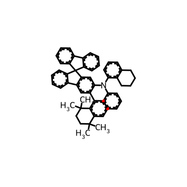 CC1(C)CCC(C)(C)c2c(-c3cc4c(cc3N(c3ccccc3)c3cccc5c3CCCC5)C3(c5ccccc5-c5ccccc53)c3ccccc3-4)cccc21